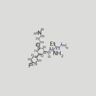 C\C=C/C=C(CC)/C(N)=C/C(C)=C1/C=C(c2ccc(F)cc2)C=C(OCCCN(C)C)C1